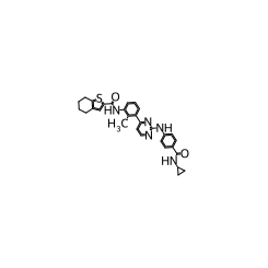 Cc1c(NC(=O)c2cc3c(s2)CCCC3)cccc1-c1ccnc(Nc2ccc(C(=O)NC3CC3)cc2)n1